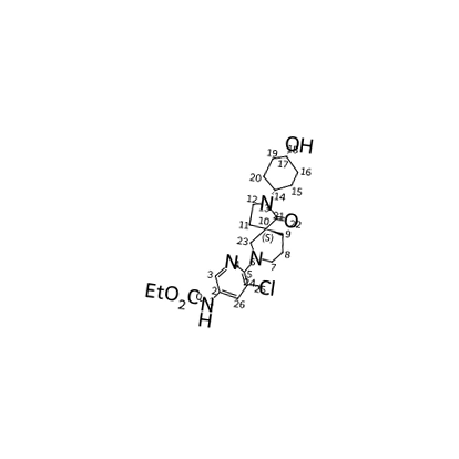 CCOC(=O)Nc1cnc(N2CCC[C@]3(CCN([C@H]4CC[C@@H](O)CC4)C3=O)C2)c(Cl)c1